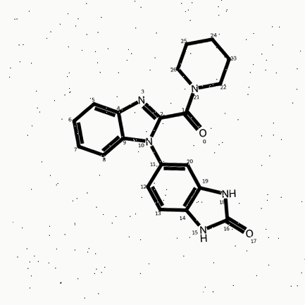 O=C(c1nc2ccccc2n1-c1ccc2[nH]c(=O)[nH]c2c1)N1CCCCC1